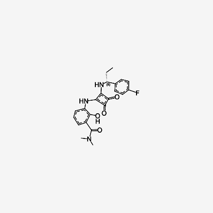 CC[C@@H](Nc1c(Nc2cccc(C(=O)N(C)C)c2O)c(=O)c1=O)c1ccc(F)cc1